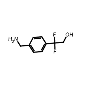 NCc1ccc(C(F)(F)CO)cc1